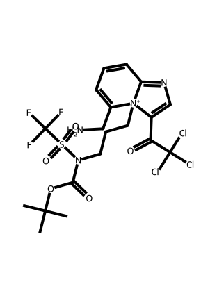 CC(C)(C)OC(=O)N(CCC[N+]12C(CN)=CC=CC1=NC=C2C(=O)C(Cl)(Cl)Cl)S(=O)(=O)C(F)(F)F